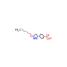 CCCCCCOc1ccc(-c2ccc(C(=O)O)cc2)nn1